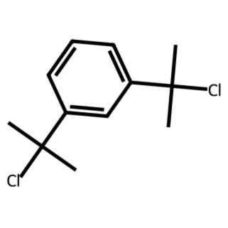 CC(C)(Cl)c1cccc(C(C)(C)Cl)c1